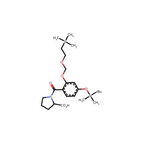 CC(C)(C)[Si](C)(C)Oc1ccc(C(=O)N2CCCC2C(=O)O)c(OCOCC[Si](C)(C)C)c1